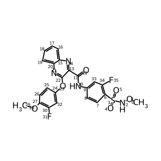 CONS(=O)(=O)c1ccc(NC(=O)c2nc3ccccc3nc2Oc2ccc(OC)c(F)c2)cc1F